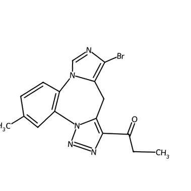 CCC(=O)c1nnn2c1Cc1c(Br)ncn1-c1ccc(C)cc1-2